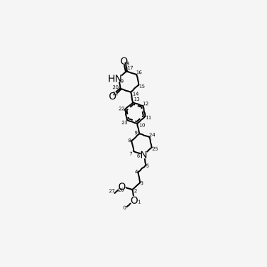 COC(CCCN1CCC(c2ccc(C3CCC(=O)NC3=O)cc2)CC1)OC